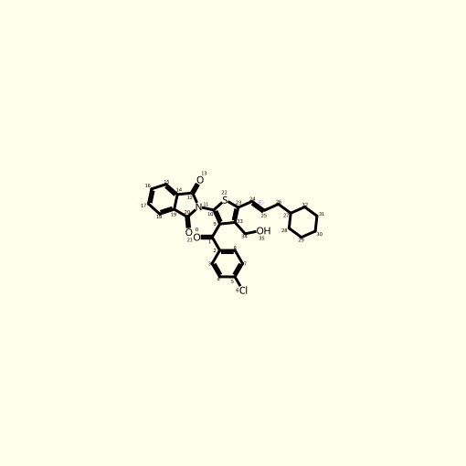 O=C(c1ccc(Cl)cc1)c1c(N2C(=O)c3ccccc3C2=O)sc(/C=C/CC2CCCCC2)c1CO